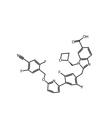 N#Cc1cc(F)c(COc2cccc(-c3cc(F)c(Cc4nc5ccc(C(=O)O)cc5n4C[C@@H]4CCO4)cc3F)n2)cc1F